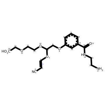 N#C/C=C/OC(COc1cccc(C(=O)NCCN)c1)OCCOCC(=O)O